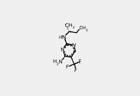 CC[C@@H](C)Nc1ncc(C(F)(F)F)c(N)n1